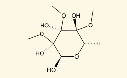 CO[C@@]1(O)[C@](O)(OC)[C@H](C)O[C@@H](O)[C@@]1(O)OC